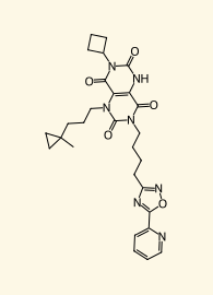 CC1(CCCn2c(=O)n(CCCCc3noc(-c4ccccn4)n3)c(=O)c3[nH]c(=O)n(C4CCC4)c(=O)c32)CC1